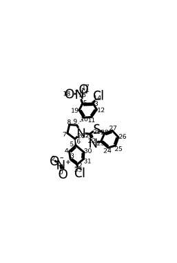 O=[N+]([O-])c1cc([C@H]2CC[C@H](c3ccc(Cl)c([N+](=O)[O-])c3)N2c2nc3ccccc3s2)ccc1Cl